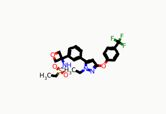 CCn1nc(Oc2ccc(C(F)(F)F)cc2)cc1-c1cccc(C2(NS(=O)(=O)CC)COC2)c1